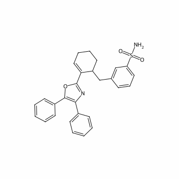 NS(=O)(=O)c1cccc(CC2CCCC=C2c2nc(-c3ccccc3)c(-c3ccccc3)o2)c1